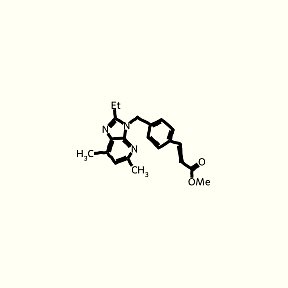 CCc1nc2c(C)cc(C)nc2n1Cc1ccc(C=CC(=O)OC)cc1